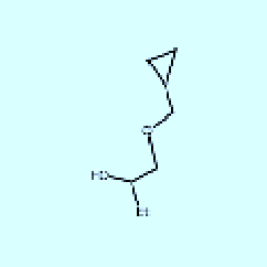 CCC(O)COCC1CC1